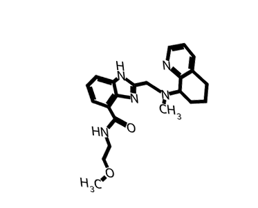 COCCNC(=O)c1cccc2[nH]c(CN(C)C3CCCc4cccnc43)nc12